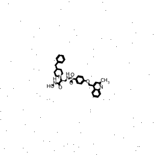 Cc1cc(COc2ccc(S(=O)(=O)NC[C@@H](C(=O)NO)N3CCC(Cc4ccccc4)CC3)cc2)c2ccccc2n1